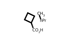 CCCC.O=C(O)C1CCC1